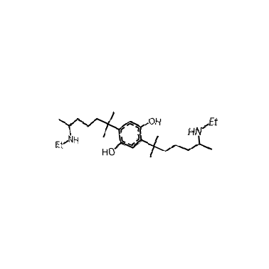 CCNC(C)CCCC(C)(C)c1cc(O)c(C(C)(C)CCCC(C)NCC)cc1O